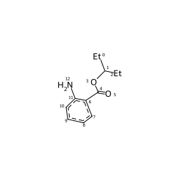 CCC(CC)OC(=O)c1ccccc1N